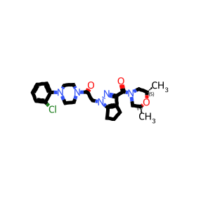 C[C@@H]1CN(C(=O)c2nn(CC(=O)N3CCN(c4ccccc4Cl)CC3)c3c2CCC3)C[C@H](C)O1